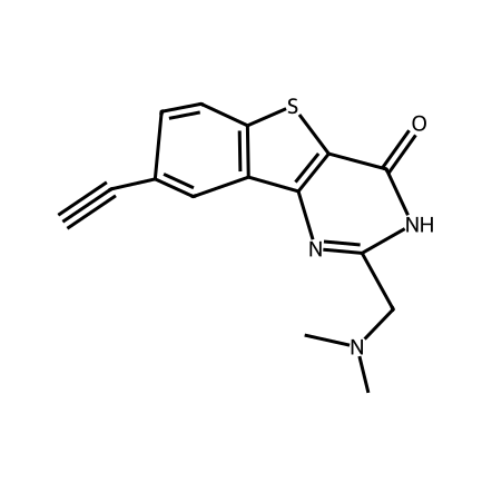 C#Cc1ccc2sc3c(=O)[nH]c(CN(C)C)nc3c2c1